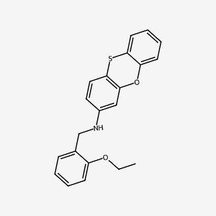 CCOc1ccccc1CNc1ccc2c(c1)Oc1ccccc1S2